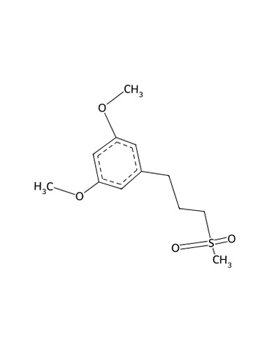 COc1cc(CCCS(C)(=O)=O)cc(OC)c1